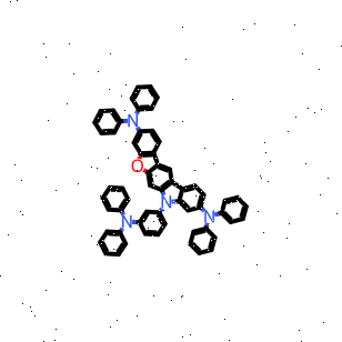 c1ccc(N(c2ccccc2)c2cccc(-n3c4cc(N(c5ccccc5)c5ccccc5)ccc4c4cc5c(cc43)oc3cc(N(c4ccccc4)c4ccccc4)ccc35)c2)cc1